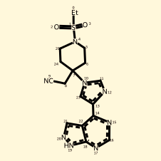 CCS(=O)(=O)N1CCC(CC#N)(n2cnc(-c3ncnc4[nH]ncc34)c2)CC1